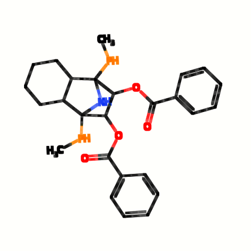 CPC12NC(PC)(C3CCCCC31)C(OC(=O)c1ccccc1)C2OC(=O)c1ccccc1